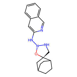 c1ccc2cc(NN3NC[C@@]4(CC5CCC4CC5)O3)ncc2c1